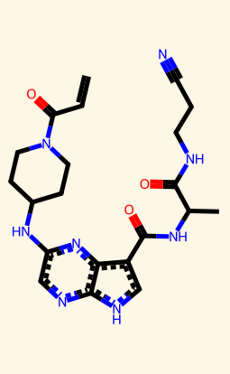 C=CC(=O)N1CCC(Nc2cnc3[nH]cc(C(=O)NC(C)C(=O)NCCC#N)c3n2)CC1